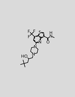 CNC(=O)c1csc2c(C(F)(F)F)cc(N3CCN(CC(O)CC(C)(C)C)CC3)nc12